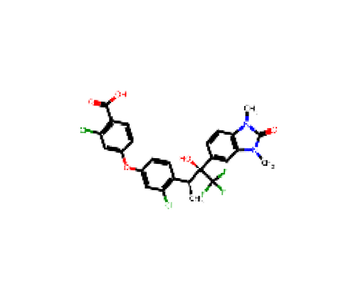 C[C@@H](c1ccc(Oc2ccc(C(=O)O)c(Cl)c2)cc1Cl)[C@](O)(c1ccc2c(c1)n(C)c(=O)n2C)C(F)(F)F